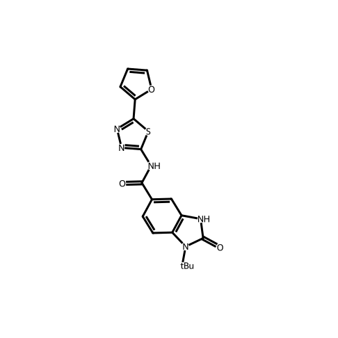 CC(C)(C)n1c(=O)[nH]c2cc(C(=O)Nc3nnc(-c4ccco4)s3)ccc21